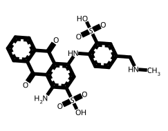 CNCc1ccc(Nc2cc(S(=O)(=O)O)c(N)c3c2C(=O)c2ccccc2C3=O)c(S(=O)(=O)O)c1